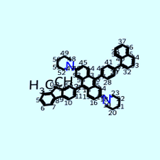 CC1(C)c2ccccc2-c2ccc(-c3c4ccc(N5CCCCC5)cc4c(-c4ccc(-c5cccc6ccccc56)cc4)c4ccc(N5CCCCC5)cc34)cc21